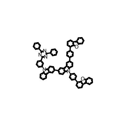 c1ccc(-c2nc(-c3ccccc3)nc(-c3cccc(-n4c5ccccc5c5cc(-c6ccc7c(c6)c6cc(-c8ccc(-c9cccc%10c9oc9ccccc9%10)cc8)ccc6n7-c6ccc(-c7cccc8c7oc7ccccc78)cc6)ccc54)c3)n2)cc1